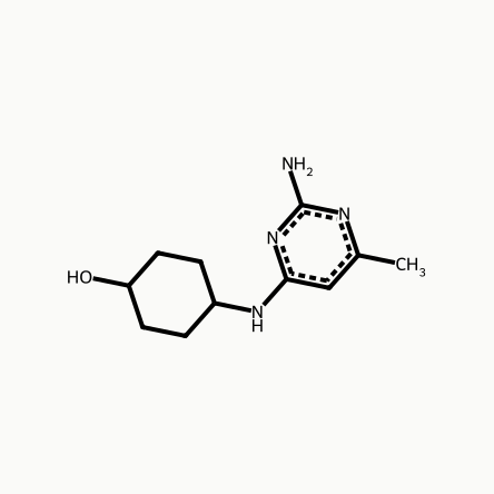 Cc1cc(NC2CCC(O)CC2)nc(N)n1